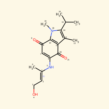 C/C(=C\CO)NC1=CC(=O)c2c(c(C)c(C(C)C)n2C)C1=O